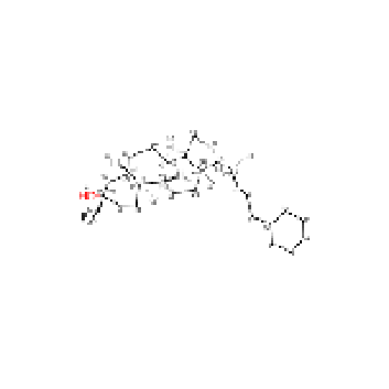 C[C@H](CCCC1CCCCC1)[C@H]1CCC2[C@@H]3CC[C@H]4C[C@](O)(C(F)(F)F)CC[C@]4(C)[C@H]3CC[C@@]21C